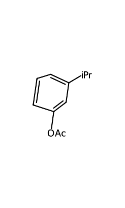 CC(=O)Oc1cccc(C(C)C)c1